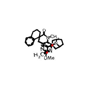 C=CC(=O)N1CC2CCC(C1)N2c1nc(OC)nc2c1N(C)C(=O)C1(CCCc3ccccc31)C2